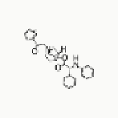 O=C(C[N+]12CCC(CC1)[C@@H](OC(=O)C(Nc1ccccc1)c1ccccc1)C2)c1cccs1